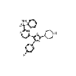 C[C@@](N)(c1ccccc1)c1nccc(-c2sc(C3CCNCC3)nc2-c2ccc(F)cc2)n1